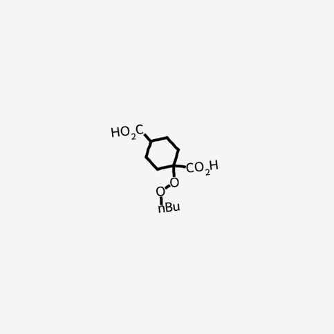 CCCCOOC1(C(=O)O)CCC(C(=O)O)CC1